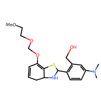 COCCOCOC1=C2SC(c3ccc(N(C)C)cc3CO)NC2CC=C1